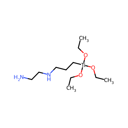 CC[O][Ti]([CH2]CCNCCN)([O]CC)[O]CC